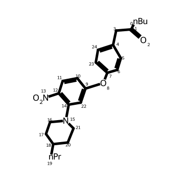 CCCCC(=O)Cc1ccc(Oc2ccc([N+](=O)[O-])c(N3CCC(CCC)CC3)c2)cc1